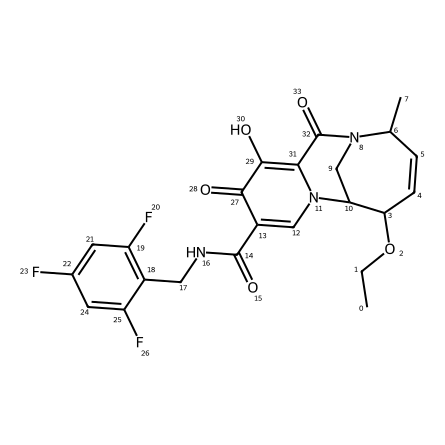 CCOC1C=CC(C)N2CC1n1cc(C(=O)NCc3c(F)cc(F)cc3F)c(=O)c(O)c1C2=O